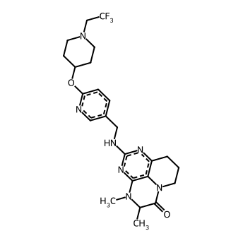 CC1C(=O)N2CCCc3nc(NCc4ccc(OC5CCN(CC(F)(F)F)CC5)nc4)nc(c32)N1C